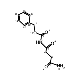 NC(=O)CCC(=O)NC(=O)OCc1ccccc1